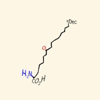 CCCCCCCCCCCCCCCCCC(=O)CCCCCC(N)C(=O)O